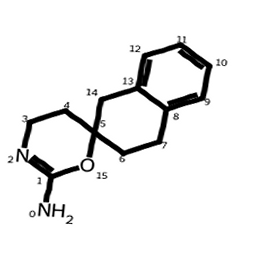 NC1=NCCC2(CCc3ccccc3C2)O1